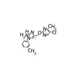 Cc1cccc(N(N)/C=C(\N)COc2ncc(Cl)c(C)n2)c1